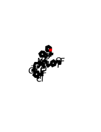 C[C@@H]1Cc2nn3c(c2CN1C(=O)c1ccc(Cl)c(C(F)(F)F)c1)C(=O)N(Cc1ccc(OC(F)F)cc1)C[C@H]3CO[Si](c1ccccc1)(c1ccccc1)C(C)(C)C